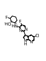 O[C@@H]1C(F)CCC[C@@H]1Nc1nc(-c2c[nH]c3ncc(Cl)cc23)ncc1F